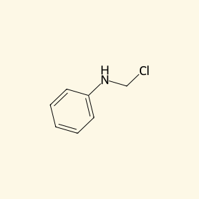 ClCNc1ccccc1